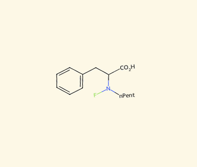 CCCCCN(F)C(Cc1ccccc1)C(=O)O